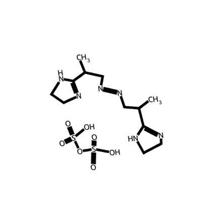 CC(CN=NCC(C)C1=NCCN1)C1=NCCN1.O=S(=O)(O)OS(=O)(=O)O